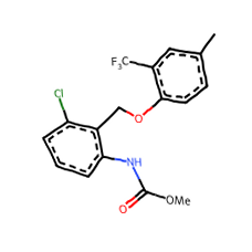 COC(=O)Nc1cccc(Cl)c1COc1ccc(C)cc1C(F)(F)F